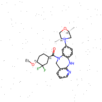 CCO[C@@H]1CC[C@@H](C(=O)N2Cc3cccnc3Nc3ccc(N4C[C@@H](C)OC[C@H]4C)cc32)CC1(F)F